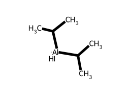 C[CH](C)[Al][CH](C)C.I